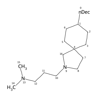 CCCCCCCCCCC1CCC2(CC1)CCN(CCCN(C)C)C2